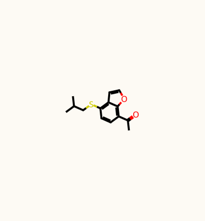 CC(=O)c1ccc(SCC(C)C)c2ccoc12